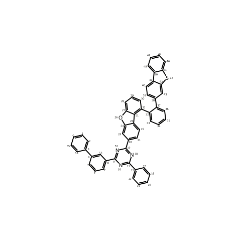 c1ccc(-c2cccc(-c3nc(-c4ccccc4)nc(-c4ccc5c(c4)oc4cccc(-c6ccccc6-c6ccc7c(c6)sc6ccccc67)c45)n3)c2)cc1